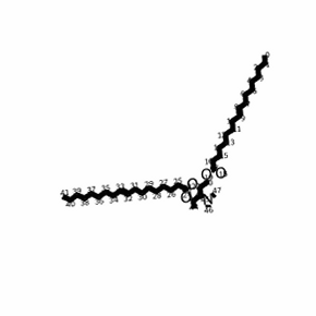 CCCCCCCCC=CCCCCCCCC(=O)OCC(OC(=O)CCCCCCCC=CCCCCCCCC)C(CC)N(C)C